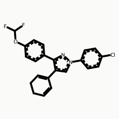 FC(F)Oc1ccc(-c2nn(-c3ccc(Cl)cc3)cc2C2=CCCC=C2)cc1